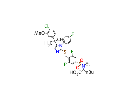 CCCC[C@@H](C(=O)O)N(CC)S(=O)(=O)c1cc(F)c(CSc2ncc(C(C)(C)c3ccc(Cl)c(OC)c3)n2-c2ccc(F)cc2)c(F)c1